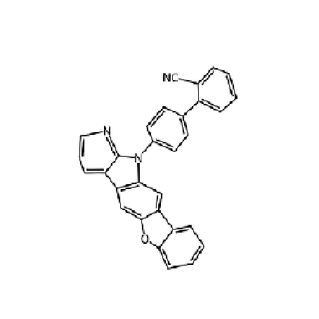 N#Cc1ccccc1-c1ccc(-n2c3cc4c(cc3c3cccnc32)oc2ccccc24)cc1